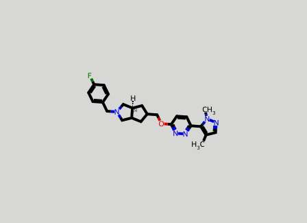 Cc1cnn(C)c1-c1ccc(OCC2CC3CN(Cc4ccc(F)cc4)C[C@H]3C2)nn1